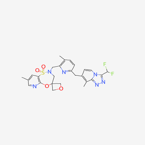 Cc1cnc2c(c1)S(=O)(=O)N(Cc1nc(Cc3ccn4c(C(F)F)nnc4c3C)ccc1C)CC1(COC1)O2